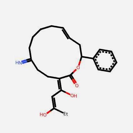 CC/C(O)=C\C(O)=C1/CCC(=N)CCCC/C=C/CC(c2ccccc2)OC1=O